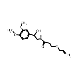 C=CCOCCC(=O)NCC(O)c1ccc(OC)c(OC)c1